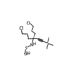 CC(C)(C)SNC(C#CS(C)(C)C)(CCCCl)CCCCl